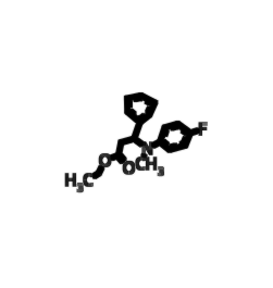 CCOC(=O)CC(c1ccccc1)N(C)c1ccc(F)cc1